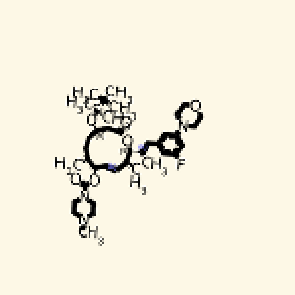 C/C(=C\c1cc(F)cc(N2CCOCC2)c1)[C@H]1OC(=O)C[C@H](O[Si](C)(C)C(C)(C)C)CC[C@H](C)[C@@H](OC(=O)N2CCN(C)CC2)/C=C/[C@@H]1C